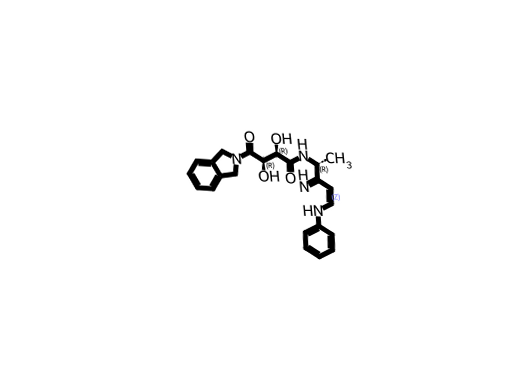 C[C@@H](NC(=O)[C@H](O)[C@@H](O)C(=O)N1Cc2ccccc2C1)C(=N)/C=C\Nc1ccccc1